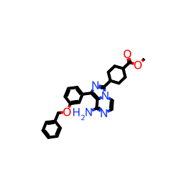 COC(=O)C1CCC(c2nc(-c3cccc(OCc4ccccc4)c3)c3c(N)nccn23)CC1